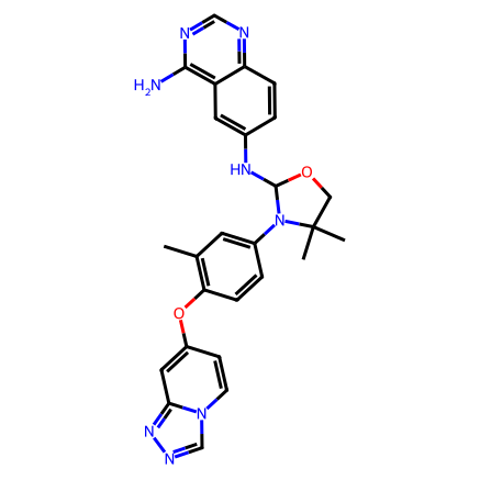 Cc1cc(N2C(Nc3ccc4ncnc(N)c4c3)OCC2(C)C)ccc1Oc1ccn2cnnc2c1